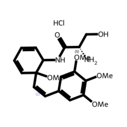 COc1cc(/C=C\C2(OC)C=CC=CC2NC(=O)[C@@H](N)CO)cc(OC)c1OC.Cl